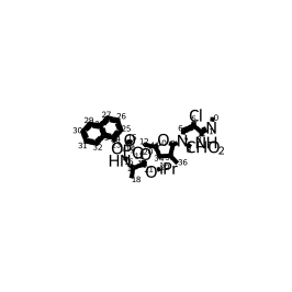 C/N=C(N)\C(Cl)=C/N(C=O)C1OC(COP(=O)(NC(C)C(=O)OC(C)C)Oc2cccc3ccccc23)CC1C